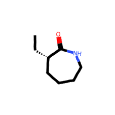 CC[C@H]1CCCCNC1=O